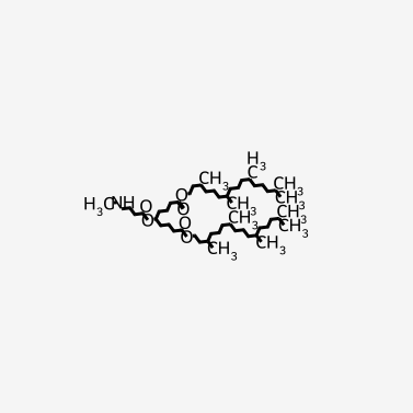 CNCCCC(=O)OC(CCCC(=O)OCCC(C)CCCC(C)CCCC(C)CCCC(C)C)CCCC(=O)OCCC(C)CCCC(C)CCCC(C)CCCC(C)C